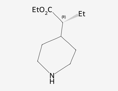 [CH2]C[C@@H](C(=O)OCC)C1CCNCC1